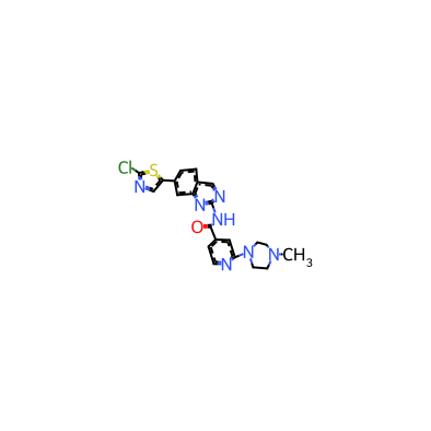 CN1CCN(c2cc(C(=O)Nc3ncc4ccc(-c5cnc(Cl)s5)cc4n3)ccn2)CC1